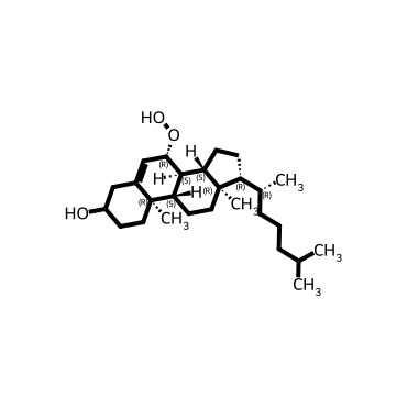 CC(C)CCC[C@@H](C)[C@H]1CC[C@H]2[C@@H]3[C@@H](OO)C=C4CC(O)CC[C@]4(C)[C@H]3CC[C@]12C